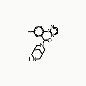 Cc1ccc(-n2nccn2)c(C(=O)N2CC3CNCC(C3)C2)c1